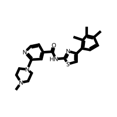 Cc1ccc(-c2csc(NC(=O)c3ccnc(N4CCN(C)CC4)c3)n2)c(C)c1C